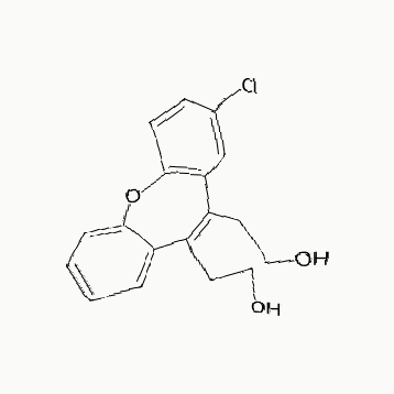 OCCC1=C(CCO)c2cc(Cl)ccc2Oc2ccccc21